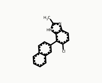 Cc1nc2ccc(Cl)c(-c3ccc4ccccc4c3)c2[nH]1